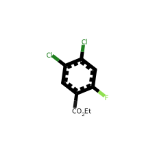 CCOC(=O)c1cc(Cl)c(Cl)cc1F